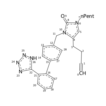 C#CCCc1cn(CCCCC)c(=O)n1Cc1ccc(-c2ccccc2-c2nnn[nH]2)cc1